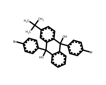 CC(C)(C)c1ccc2c(c1)C(O)(c1ccc(Br)cc1)c1ccccc1C2(O)c1ccc(Br)cc1